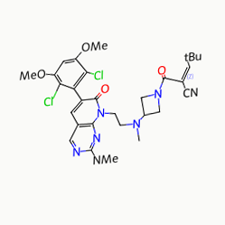 CNc1ncc2cc(-c3c(Cl)c(OC)cc(OC)c3Cl)c(=O)n(CCN(C)C3CN(C(=O)/C(C#N)=C\C(C)(C)C)C3)c2n1